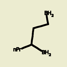 BCCC(B)CCC